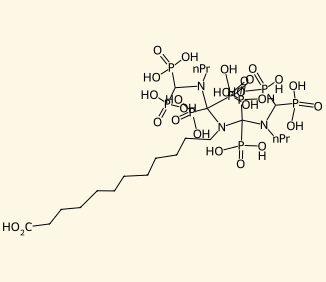 CCCN(C(P(=O)(O)O)P(=O)(O)O)C(N(CCCCCCCCCCCC(=O)O)C(N(CCC)C(P(=O)(O)O)P(=O)(O)O)(P(=O)(O)O)P(=O)(O)O)(P(=O)(O)O)P(=O)(O)O